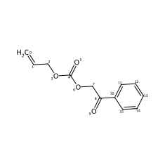 C=CCOC(=O)OCC(=O)c1ccccc1